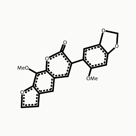 COc1cc2c(cc1-c1cc3cc4ccoc4c(OC)c3oc1=O)OCO2